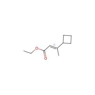 CCOC(=O)/C=C(\C)C1CCC1